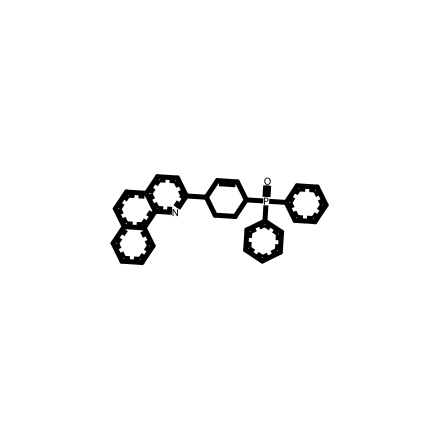 O=P(c1ccccc1)(c1ccccc1)C1C=CC(c2ccc3ccc4ccccc4c3n2)CC1